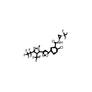 CN1N=C(C(F)(F)C(F)(F)F)C(C(F)(F)F)C1c1cc(-c2ccc(Cl)c(C(=O)N[C@H]3C[C@@H]3C(F)(F)F)c2)on1